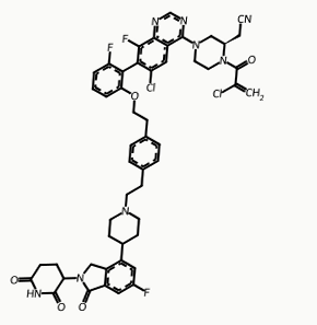 C=C(Cl)C(=O)N1CCN(c2ncnc3c(F)c(-c4c(F)cccc4OCCc4ccc(CCN5CCC(c6cc(F)cc7c6CN(C6CCC(=O)NC6=O)C7=O)CC5)cc4)c(Cl)cc23)C[C@H]1CC#N